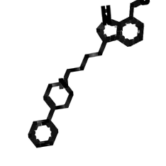 O=Cc1cccc2c(CCCCN3CC=C(c4ccccc4)CC3)c[nH]c12